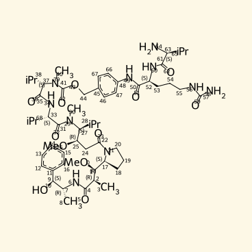 CO[C@H]([C@@H](C)C(=O)N[C@H](C)[C@@H](O)c1ccccc1)[C@@H]1CCCN1C(=O)C[C@@H](OC)[C@H](C(C)C)N(C)C(=O)[C@@H](NC(=O)[C@H](C(C)C)N(C)C(=O)OCc1ccc(NC(=O)[C@H](CCCNC(N)=O)NC(=O)[C@@H](N)C(C)C)cc1)C(C)C